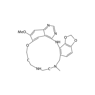 COc1cc2ncnc3c2cc1OCCCNCCN(C)Cc1ccc2c(c1N3)OCO2